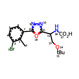 Cc1c(Br)cccc1-c1nnc(C(COC(C)(C)C)NC(=O)O)o1